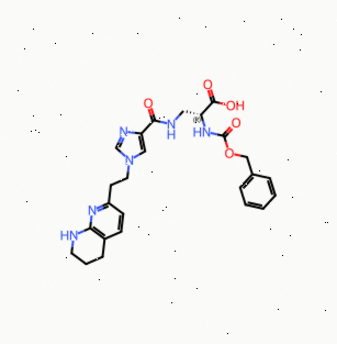 O=C(N[C@H](CNC(=O)c1cn(CCc2ccc3c(n2)NCCC3)cn1)C(=O)O)OCc1ccccc1